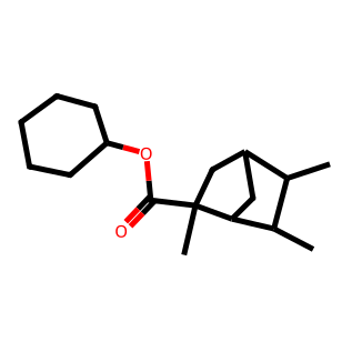 CC1C2CC(C1C)C(C)(C(=O)OC1CCCCC1)C2